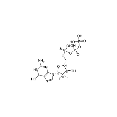 C[C@@]1(F)[C@H](O)[C@@H](COP(O)(=S)OP(=O)(O)OP(=O)(O)O)O[C@H]1n1cnc2c1N=C(N)NC2O